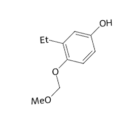 CCc1cc(O)ccc1OCOC